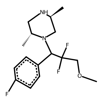 COCC(F)(F)C(c1ccc(F)cc1)N1C[C@H](C)NC[C@H]1C